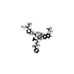 CC(=O)O.NC(=NO)N1CCC[C@@H](CNC(=O)C[C@H](NS(=O)(=O)c2ccc3ccccc3c2)C(=O)N(CCNC(=O)c2cnccn2)C2CC2)C1